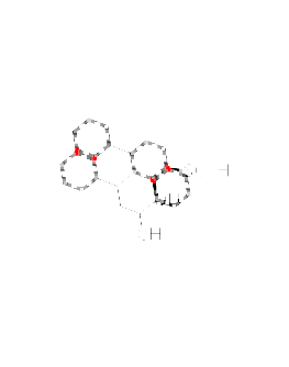 CC(CC(c1ccccc1)c1c(-c2ccccc2)ccc(S(=O)(=O)O)c1O)c1ccccc1